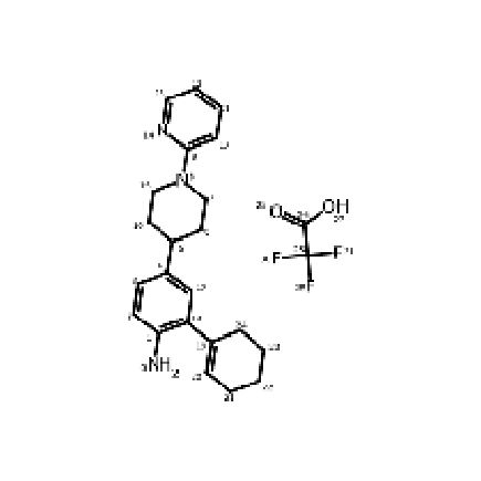 Nc1ccc(C2CCN(c3ccccn3)CC2)cc1C1=CCCCC1.O=C(O)C(F)(F)F